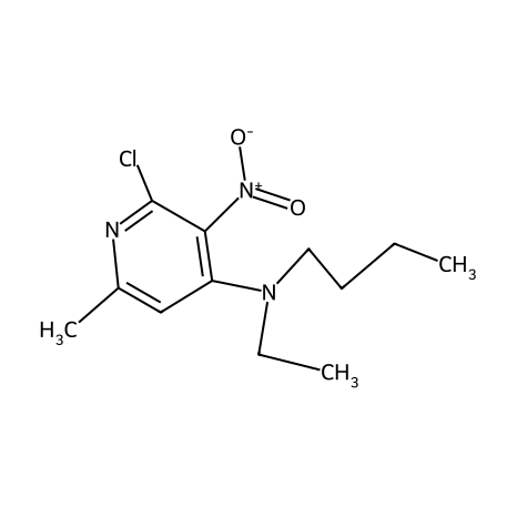 CCCCN(CC)c1cc(C)nc(Cl)c1[N+](=O)[O-]